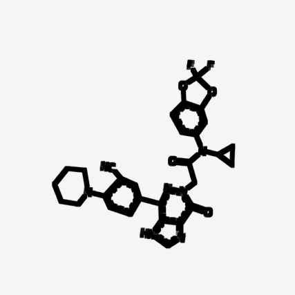 N#Cc1cc(-c2nn(CC(=O)N(c3ccc4c(c3)OC(F)(F)O4)C3CC3)c(=O)c3nc[nH]c23)ccc1N1CCCCC1